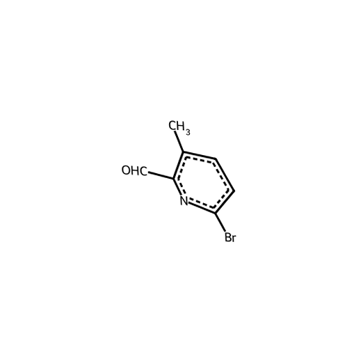 Cc1ccc(Br)nc1C=O